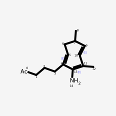 CC(=O)CCCC1=C\CC(C)/C=C/C(C)=C\1N